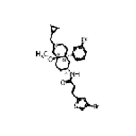 CO[C@]12CC[C@@H](NC(=O)C=Cc3cc(Br)cs3)C[C@]1(c1cccc(O)c1)CCN(CC1CC1)C2